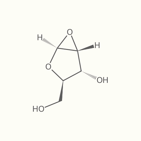 OC[C@H]1O[C@H]2O[C@@H]2[C@@H]1O